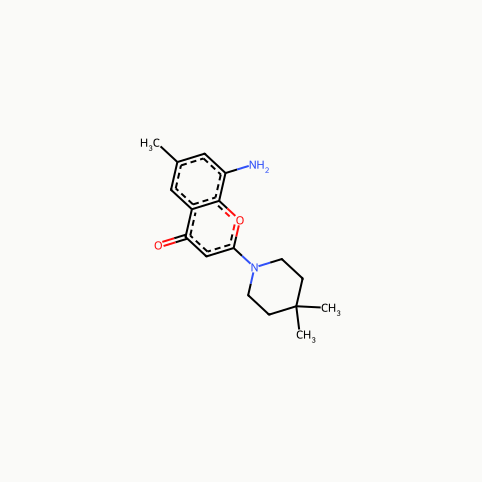 Cc1cc(N)c2oc(N3CCC(C)(C)CC3)cc(=O)c2c1